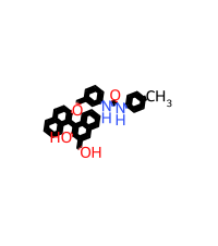 Cc1ccc(NC(=O)Nc2cccc(COc3ccc4ccccc4c3-c3c(O)c(CO)cc4ccccc34)c2)cc1